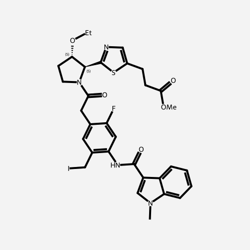 CCO[C@H]1CCN(C(=O)Cc2cc(CI)c(NC(=O)c3cn(C)c4ccccc34)cc2F)[C@@H]1c1ncc(CCC(=O)OC)s1